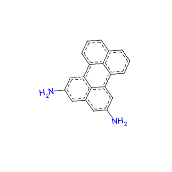 Nc1cc2cc(N)cc3c4cccc5cccc(c(c1)c23)c54